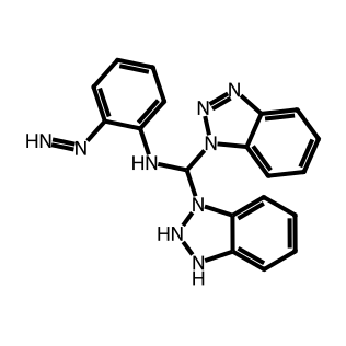 N=Nc1ccccc1NC(N1NNc2ccccc21)n1nnc2ccccc21